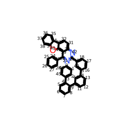 c1ccc(-c2ccccc2-c2cccc(-c3cccc(-c4nc(-c5ccccc5)c5c(ccc6c7ccccc7oc65)n4)c3)c2)cc1